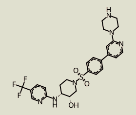 O=S(=O)(c1ccc(-c2ccnc(N3CCNCC3)c2)cc1)N1CC[C@@H](Nc2ccc(C(F)(F)F)cn2)[C@@H](O)C1